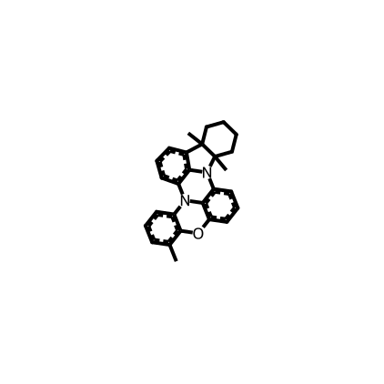 Cc1cccc2c1Oc1cccc3c1N2c1cccc2c1N3C1(C)CCCCC21C